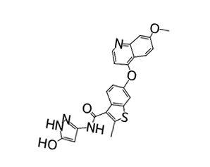 COc1ccc2c(Oc3ccc4c(C(=O)Nc5cc(O)[nH]n5)c(C)sc4c3)ccnc2c1